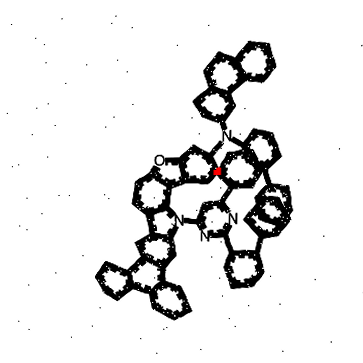 c1ccc(-c2cccc(N(c3ccc4c(c3)oc3ccc5c6cc7c8ccccc8c8ccccc8c7cc6n(-c6cc(-c7ccccc7)nc(-c7ccccc7-c7ccccc7)n6)c5c34)c3ccc4ccc5ccccc5c4c3)c2)cc1